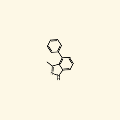 Cc1n[nH]c2cc[c]c(-c3ccccc3)c12